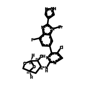 CC(C)n1c(-c2cn[nH]c2)nc2c(F)cc(-c3nc(N[C@@H]4C[C@H]5CO[C@H](O5)[C@H]4O)ncc3Cl)cc21